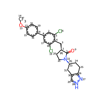 O=C1[C@H](Cc2c(Cl)cc(-c3ccc(OC(F)(F)F)cc3)cc2Cl)CCN1[C@H]1CCc2n[nH]cc2C1